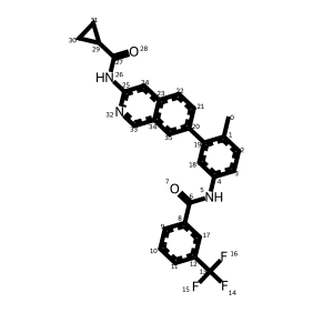 Cc1ccc(NC(=O)c2cccc(C(F)(F)F)c2)cc1-c1ccc2cc(NC(=O)C3CC3)ncc2c1